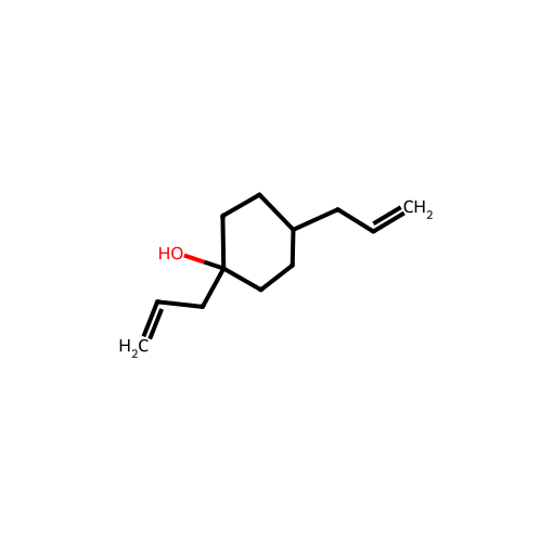 C=CCC1CCC(O)(CC=C)CC1